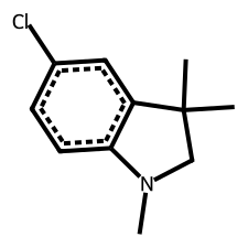 CN1CC(C)(C)c2cc(Cl)ccc21